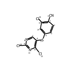 N#Cc1ccc(Sc2cnc(Cl)nc2Cl)cc1Cl